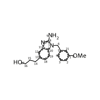 COc1cccc(Cn2c(N)nc3cc(CCCO)ccc32)c1